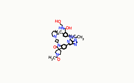 CC(=O)N1CCC2(CC1)C(=O)N([C@H]1C[C@@H](N3CCCCC3)C1)c1cc(-c3cc4ncn(C(C)C)c4c(Nc4ccc(C)c(C(O)NCCO)c4)n3)ccc12